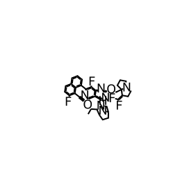 C#Cc1c(F)ccc2cccc(-c3nc4c5c(nc(OCC67CCCN6CCC7=C(F)F)nc5c3F)N3CC5CCC(N5)C3C(C)O4)c12